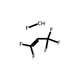 FC(F)=CC(F)(F)F.[CH]F